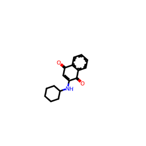 O=C1C=C(NC2CCCCC2)C(=O)c2ccccc21